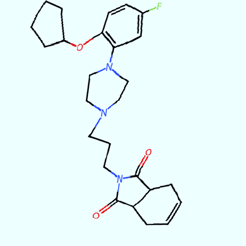 O=C1C2CC=CCC2C(=O)N1CCCN1CCN(c2cc(F)ccc2OC2CCCC2)CC1